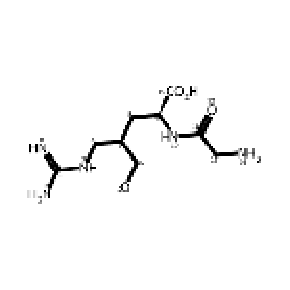 N=C(N)NCC(C[O])C[C@H](NC(=O)CN)C(=O)O